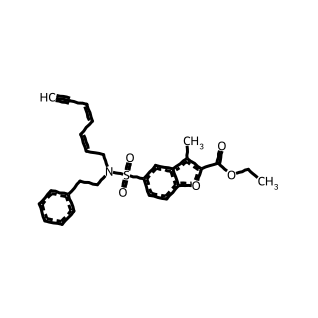 C#C/C=C\C=C/CN(CCc1ccccc1)S(=O)(=O)c1ccc2oc(C(=O)OCC)c(C)c2c1